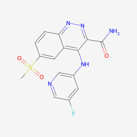 CS(=O)(=O)c1ccc2nnc(C(N)=O)c(Nc3cncc(F)c3)c2c1